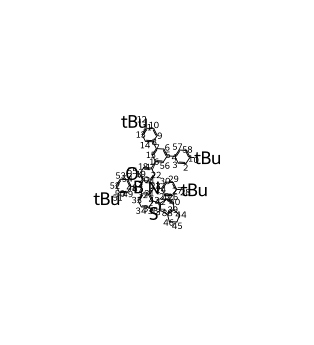 CC(C)(C)c1ccc(-c2cc(-c3ccc(C(C)(C)C)cc3)cc(-c3cc4c5c(c3)N(c3ccc(C(C)(C)C)cc3)c3c(ccc6sc7c8c(ccc7c36)CCC8)B5c3cc(C(C)(C)C)ccc3O4)c2)cc1